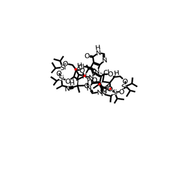 CC(C)N(C(C)C)P(OC(C)(C#N)[C@H]1[C@H]2O[Si](C(C)C)(C(C)C)O[Si](C(C)C)(C(C)C)OC[C@H]2O[C@H]1n1cc(Cl)c2c(=O)[nH]cnc21)OC(C)(C#N)[C@H]1[C@H]2O[Si](C(C)C)(C(C)C)O[Si](C(C)C)(C(C)C)OC[C@H]2O[C@H]1n1cc(Cl)c2c(=O)[nH]cnc21